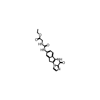 CCOC(=O)CNC(=O)Nc1ccc2c(c1)Cc1c-2[nH]c(=O)c2nccn12